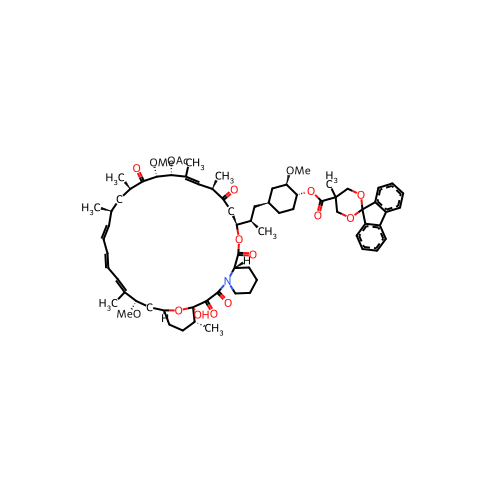 CO[C@H]1C[C@@H]2CC[C@@H](C)[C@@](O)(O2)C(=O)C(=O)N2CCCC[C@H]2C(=O)O[C@H]([C@H](C)C[C@@H]2CC[C@@H](OC(=O)C3(C)COC4(OC3)c3ccccc3-c3ccccc34)[C@H](OC)C2)CC(=O)[C@H](C)/C=C(\C)[C@@H](OC(C)=O)[C@@H](OC)C(=O)[C@H](C)C[C@H](C)/C=C/C=C/C=C/1C